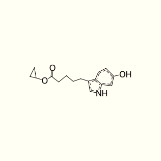 O=C(CCCCc1c[nH]c2cc(O)ccc12)OC1CC1